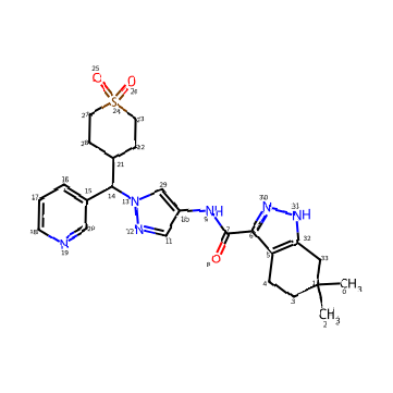 CC1(C)CCc2c(C(=O)Nc3cnn(C(c4cccnc4)C4CCS(=O)(=O)CC4)c3)n[nH]c2C1